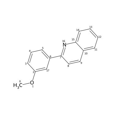 COc1cccc(-c2ccc3ccccc3n2)c1